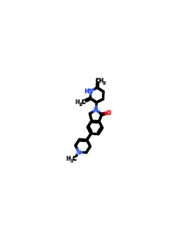 C=C1CCC(N2Cc3cc(C4=CCN(C)CC4)ccc3C2=O)C(=C)N1